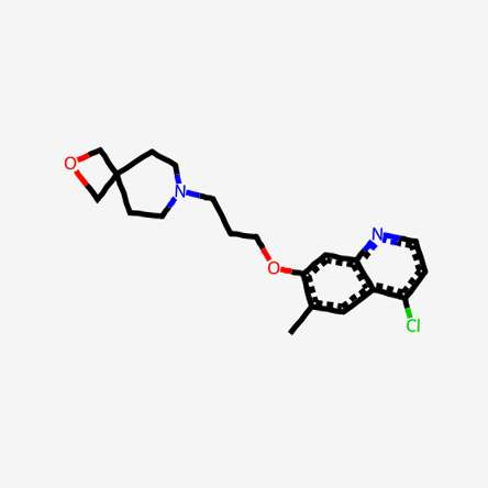 Cc1cc2c(Cl)ccnc2cc1OCCCN1CCC2(CC1)COC2